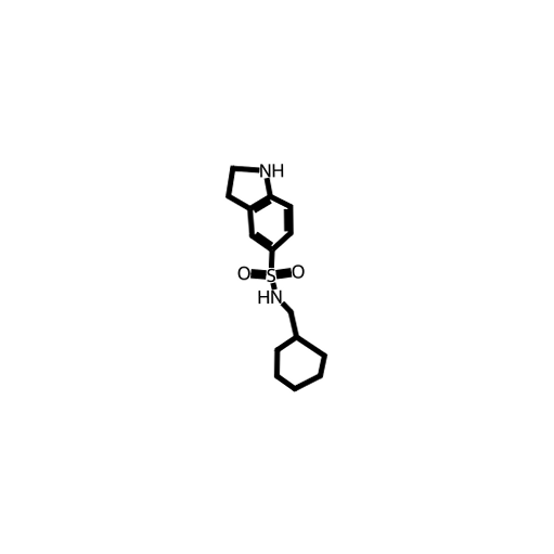 O=S(=O)(NCC1CCCCC1)c1ccc2c(c1)CCN2